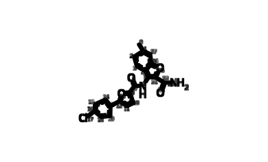 Cc1ccc2c(NC(=O)c3ccc(-c4ccc(Cl)cc4)o3)c(C(N)=O)oc2c1